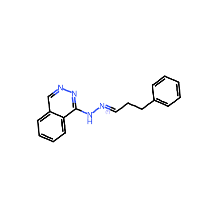 C(/CCc1ccccc1)=N\Nc1nncc2ccccc12